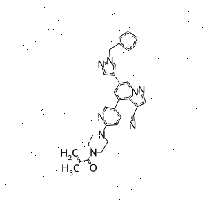 C=C(C)C(=O)N1CCN(c2ccc(-c3cc(-c4cnn(Cc5ccccc5)c4)cn4ncc(C#N)c34)cn2)CC1